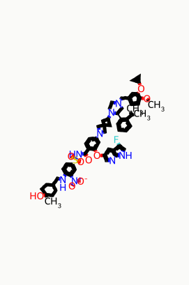 COc1ccc(CN2CCN(C3CC4(C3)CN(c3ccc(C(=O)NS(=O)(=O)c5ccc(NCC6CCC(C)(O)CC6)c([N+](=O)[O-])c5)c(Oc5cnc6[nH]cc(F)c6c5)c3)C4)[C@H](c3ccccc3C(C)C)C2)cc1OC1CC1